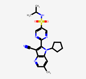 Cc1cnc2c(C#N)c(-c3ncc(S(=O)(=O)NC(C)C)cn3)n(C3CCCC3)c2c1